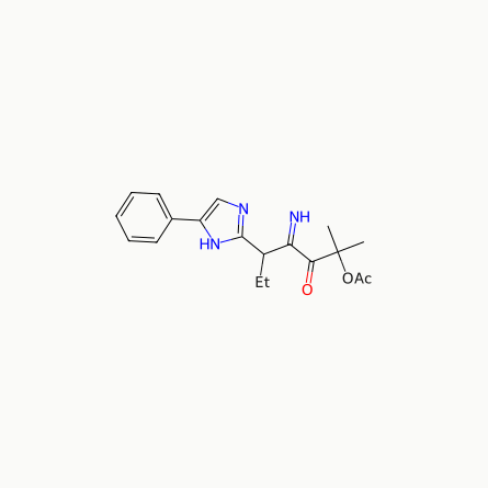 CCC(C(=N)C(=O)C(C)(C)OC(C)=O)c1ncc(-c2ccccc2)[nH]1